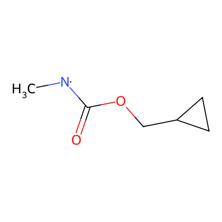 C[N]C(=O)OCC1CC1